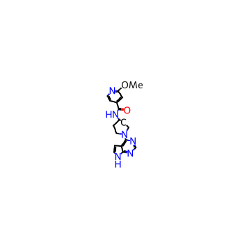 COc1cc(C(=O)NC2CCN(c3ncnc4[nH]ccc34)CC2)ccn1